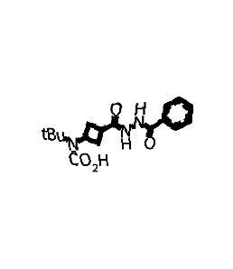 CC(C)(C)N(C(=O)O)C1CC(C(=O)NNC(=O)c2ccccc2)C1